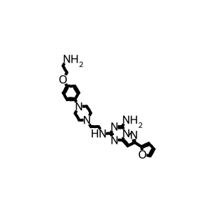 NCCOc1ccc(N2CCN(CCNc3nc(N)n4nc(-c5ccco5)cc4n3)CC2)cc1